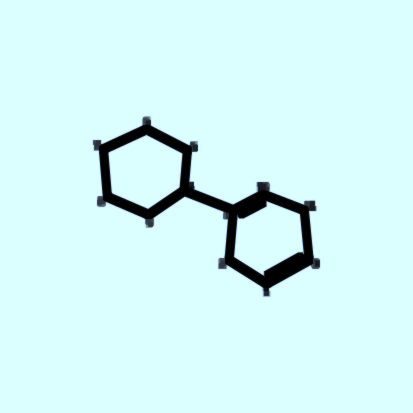 C1=CCC(C2CCCCC2)=CC1